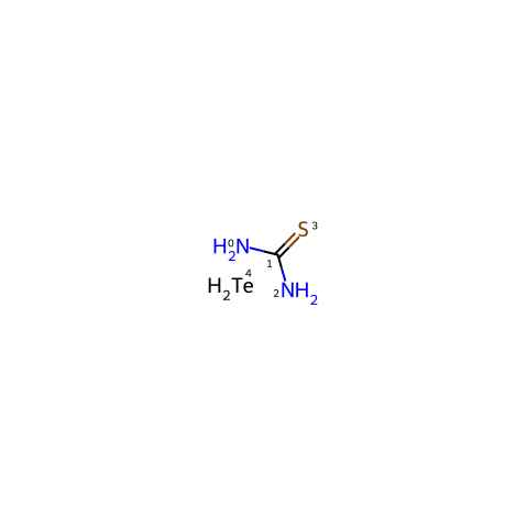 NC(N)=S.[TeH2]